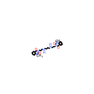 Cn1c(=O)n(CCCNCCCCNCCCn2c(=O)c3ccccc3n(C)c2=O)c(=O)c2ccccc21